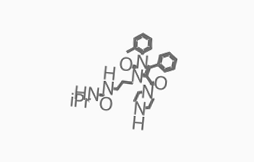 Cc1ccccc1-n1c(-c2ccccc2)c(C(=O)N2CCNCC2)n(CCCNC(=O)NC(C)C)c1=O